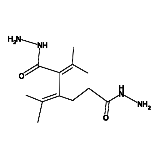 CC(C)=C(CCC(=O)NN)C(C(=O)NN)=C(C)C